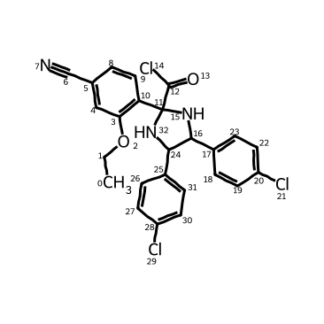 CCOc1cc(C#N)ccc1C1(C(=O)Cl)NC(c2ccc(Cl)cc2)C(c2ccc(Cl)cc2)N1